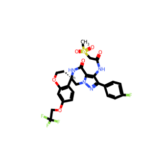 CS(=O)(=O)CC(=O)Nc1c(-c2ccc(F)cc2)nn2c1C(=O)N[C@@]1(CCOc3cc(OCC(F)(F)F)ccc31)C2